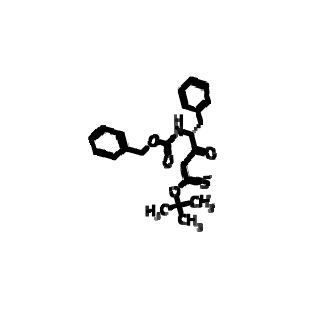 CC(C)(C)OC(=S)CC(=O)[C@@H](Cc1ccccc1)NC(=O)OCc1ccccc1